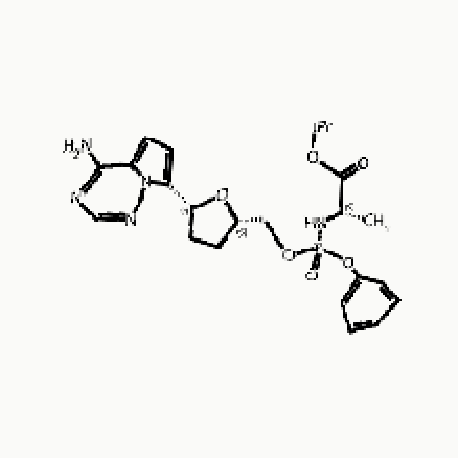 CC(C)OC(=O)[C@H](C)NP(=O)(OC[C@@H]1CC[C@H](c2ccc3c(N)ncnn23)O1)Oc1ccccc1